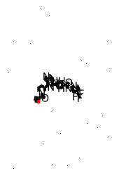 N[N+]12C=CN=CC1=C(C1CCCN(C(=O)C34CC(C3)C4)C1)N=C2c1ccc(C(=O)Nc2cc(C(F)(F)F)ccn2)cc1